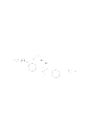 C=CC[C@H](C)[C@@H](CC)S(=O)(=O)N(Cc1ccc(OC)cc1)Cc1ccc(OC)cc1